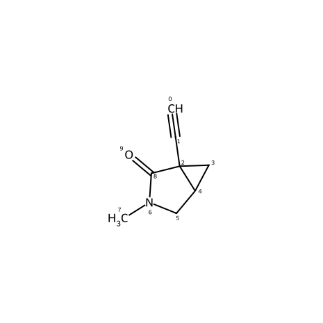 C#CC12CC1CN(C)C2=O